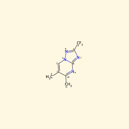 Cc1[c]n2nc(C(F)(F)F)nc2nc1C